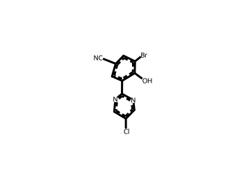 N#Cc1cc(Br)c(O)c(-c2ncc(Cl)cn2)c1